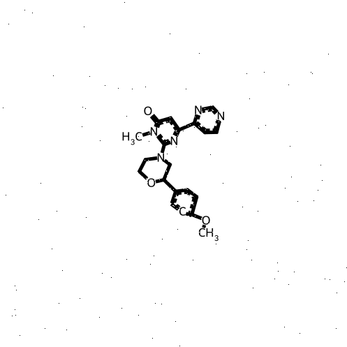 COc1ccc(C2CN(c3nc(-c4ccncn4)cc(=O)n3C)CCO2)cc1